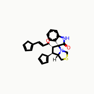 O=C(/C=C/C1=CC=CC1)[C@H]1[C@H](C2=CC=CC2)[C@H]2CSCN2[C@]12C(=O)Nc1ccccc12